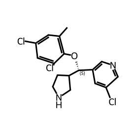 Cc1cc(Cl)cc(Cl)c1O[C@H](c1cncc(Cl)c1)C1CCNC1